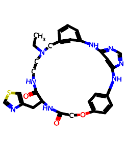 CCN1CCNC(=O)C(Cc2cscn2)NC(=O)COc2ccc(cc2)Nc2cc(ncn2)Nc2cccc(c2)C1